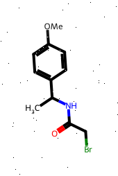 COc1ccc(C(C)NC(=O)CBr)cc1